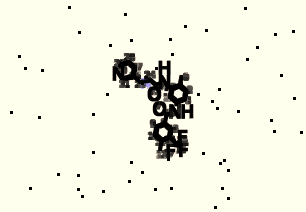 Cc1ccc(NC(=O)c2ccc(C)c(C(F)(F)F)c2)cc1NC(=O)/C=C/c1cccnc1